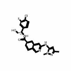 Cc1cc(Nc2cc3cc(C(=O)N[C@H](CO)c4ccc(Cl)c(F)c4)ccc3cn2)n(C)n1